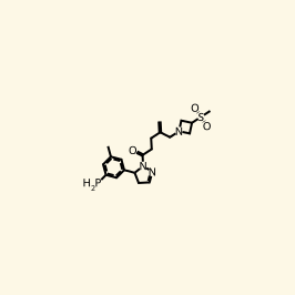 C=C(CCC(=O)N1N=CCC1c1cc(C)cc(P)c1)CN1CC(S(C)(=O)=O)C1